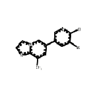 CCc1cc(-c2cc(C)c3nccn3c2)cnc1Cl